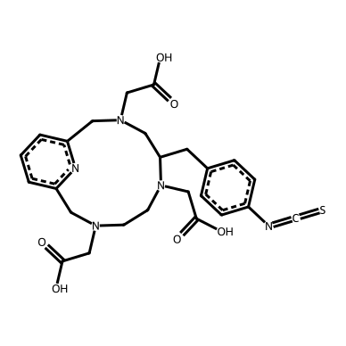 O=C(O)CN1CCN(CC(=O)O)C(Cc2ccc(N=C=S)cc2)CN(CC(=O)O)Cc2cccc(n2)C1